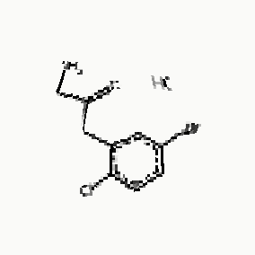 Cl.NCC(=O)Cc1cc(Br)ccc1Cl